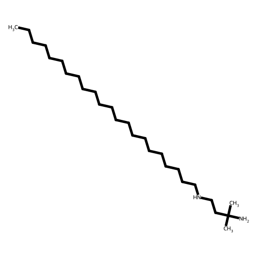 CCCCCCCCCCCCCCCCCCCCCCNCCC(C)(C)N